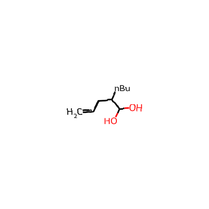 C=CCC(CCCC)C(O)O